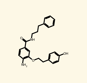 Nc1ccc(C(=O)NCCCc2ccccc2)cc1OCCc1ccc(O)cc1